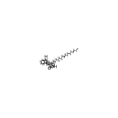 CCC=CCC=CCC=CCCCCCCCC(=O)NC(Cc1c[nH]c2ccccc12)C(=O)O